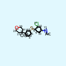 COC1(c2cccc(Sc3ccc(N(C)C(C)=O)cc3Cl)c2)CCOCC1